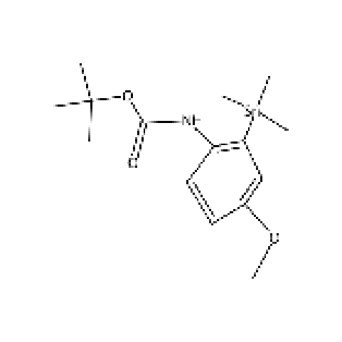 COc1ccc(NC(=O)OC(C)(C)C)[c]([Sn]([CH3])([CH3])[CH3])c1